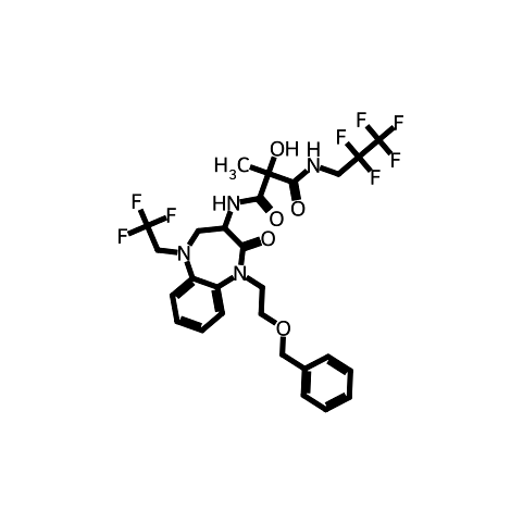 CC(O)(C(=O)NCC(F)(F)C(F)(F)F)C(=O)NC1CN(CC(F)(F)F)c2ccccc2N(CCOCc2ccccc2)C1=O